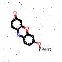 CCCCCOc1ccc2nc3ccc(=O)cc-3oc2c1